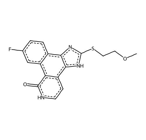 COCCSc1nc2c3ccc(F)cc3c3c(=O)[nH]ccc3c2[nH]1